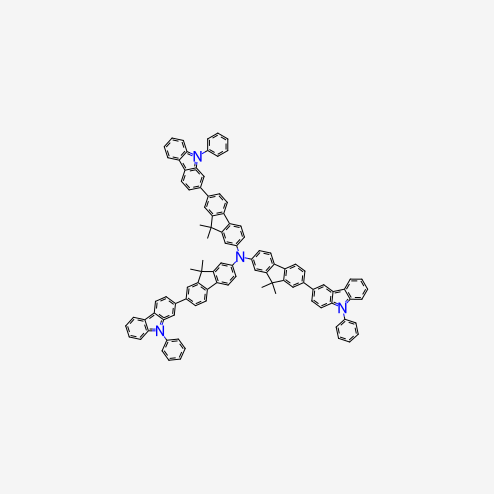 CC1(C)c2cc(-c3ccc4c(c3)c3ccccc3n4-c3ccccc3)ccc2-c2ccc(N(c3ccc4c(c3)C(C)(C)c3cc(-c5ccc6c7ccccc7n(-c7ccccc7)c6c5)ccc3-4)c3ccc4c(c3)C(C)(C)c3cc(-c5ccc6c7ccccc7n(-c7ccccc7)c6c5)ccc3-4)cc21